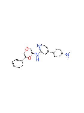 CN(C)c1ccc(-c2ccnc(NC3=COC=C(C4=CC=CCC4)O3)c2)cc1